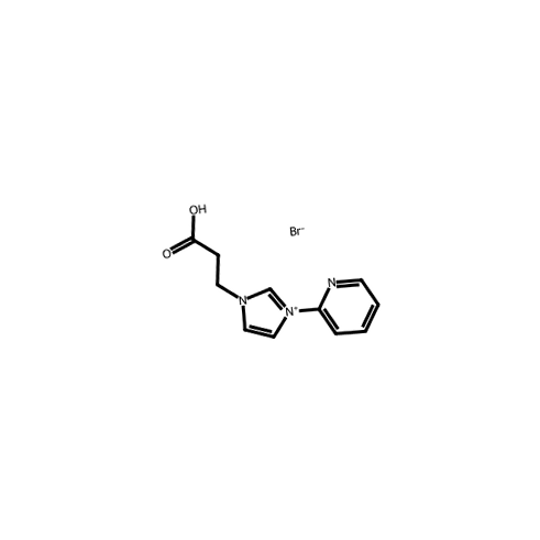 O=C(O)CCn1cc[n+](-c2ccccn2)c1.[Br-]